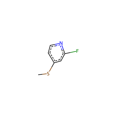 CSc1ccnc(F)c1